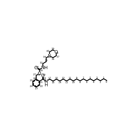 CCCCCCCCCCCCCCCCCCNC(=O)c1ccccc1COC(=O)NCCCN1CCOCC1